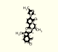 Cc1cn(-c2ccc3n(c2=O)C[C@@H](C)N(Cc2cn(C)c4ccc(Cl)c(F)c24)C3=O)cn1